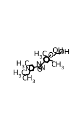 CCc1cc(-c2noc(-c3cc(C)nc(CC(C)C)c3)n2)cc(C)c1OC[C@@H](O)CO